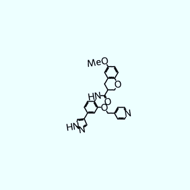 COc1ccc2c(c1)CC(C(=O)Nc1ccc(-c3cn[nH]c3)cc1OCc1ccncc1)CO2